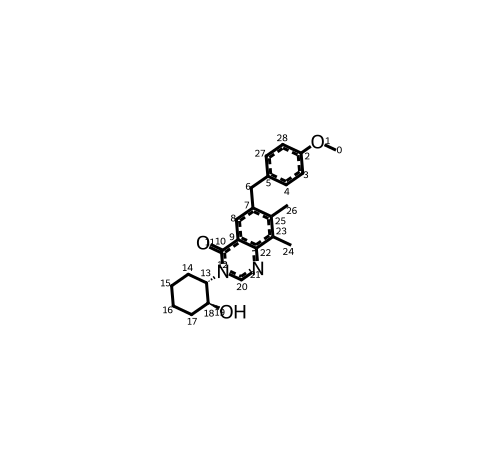 COc1ccc(Cc2cc3c(=O)n([C@H]4CCCC[C@@H]4O)cnc3c(C)c2C)cc1